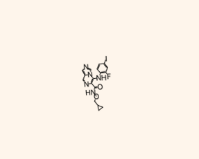 O=C(NOCC1CC1)c1ncc2cncn2c1Nc1ccc(I)cc1F